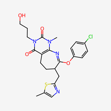 Cc1cnc(CC2CCc3c(n(C)c(=O)n(CCCO)c3=O)N=C2Oc2ccc(Cl)cc2)s1